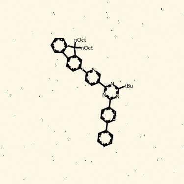 CCCCCCCCC1(CCCCCCCC)c2ccccc2-c2ccc(-c3ccc(-c4nc(-c5ccc(-c6ccccc6)cc5)nc(C(C)(C)C)n4)cn3)cc21